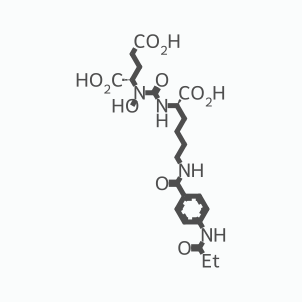 CCC(=O)Nc1ccc(C(=O)NCCCC[C@H](NC(=O)N(O)[C@@H](CCC(=O)O)C(=O)O)C(=O)O)cc1